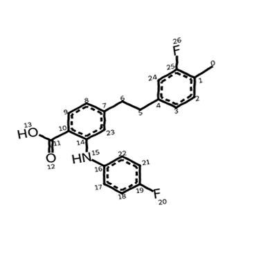 Cc1ccc(CCc2ccc(C(=O)O)c(Nc3ccc(F)cc3)c2)cc1F